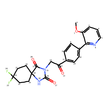 COc1cccnc1-c1ccc(C(=O)CN2C(=O)NC3(CCC(F)(F)CC3)C2=O)cc1